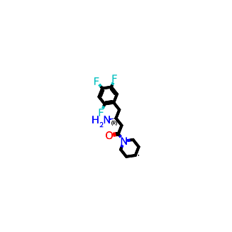 N[C@@H](CC(=O)N1CC[CH]CC1)Cc1cc(F)c(F)cc1F